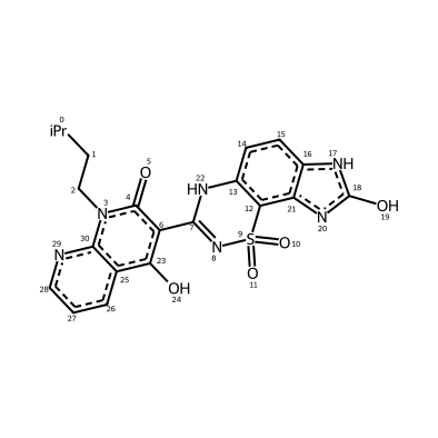 CC(C)CCn1c(=O)c(C2=NS(=O)(=O)c3c(ccc4[nH]c(O)nc34)N2)c(O)c2cccnc21